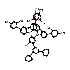 N#Cc1ccc(-c2ccc3c(c2)c2cc(-c4ccc(C#N)cc4C#N)ccc2n3-c2cc(C#N)c(-c3nc(-c4ccccc4)cc(-c4ccccc4)n3)cc2-n2c3ccc(-c4ccc(C#N)cc4C#N)cc3c3cc(-c4ccc(C#N)cc4C#N)ccc32)c(C#N)c1